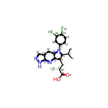 CC(C)c1c(C[C@@H](F)C(=O)O)c2nc3[nH]ncc3cc2n1-c1ccc(F)c(F)c1